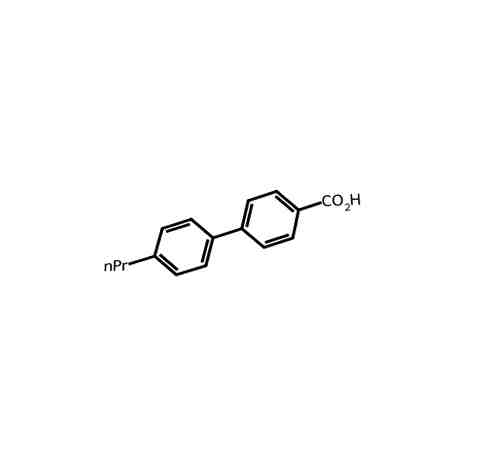 CCCc1ccc(-c2ccc(C(=O)O)cc2)cc1